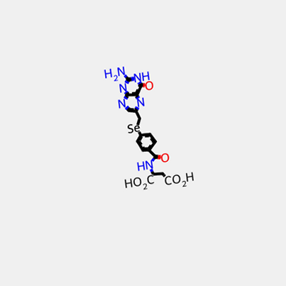 Nc1nc2ncc(C[Se]c3ccc(C(=O)NC(CC(=O)O)C(=O)O)cc3)nc2c(=O)[nH]1